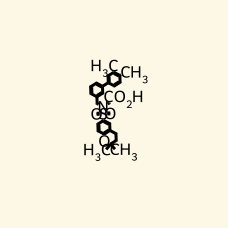 Cc1ccc(-c2cccc(CN(CC(=O)O)S(=O)(=O)c3ccc4c(c3)CCC(C)(C)O4)c2)cc1C